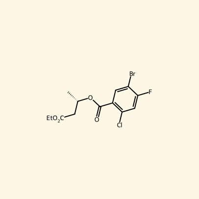 CCOC(=O)C[C@H](C)OC(=O)c1cc(Br)c(F)cc1Cl